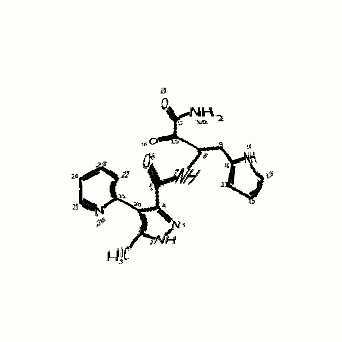 Cc1[nH]nc(C(=O)NC(Cc2ccc[nH]2)C(=O)C(N)=O)c1-c1ccccn1